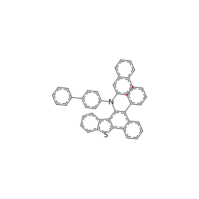 c1ccc(-c2ccc(N(c3ccc4ccccc4c3)c3c(-c4ccccc4)c4ccccc4c4sc5ccccc5c34)cc2)cc1